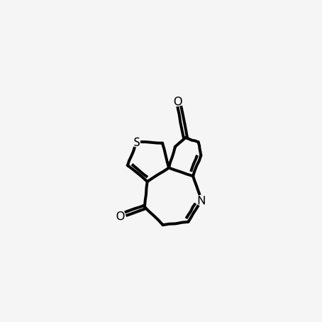 O=C1CC=C2N=CCC(=O)C3=CSCC23C1